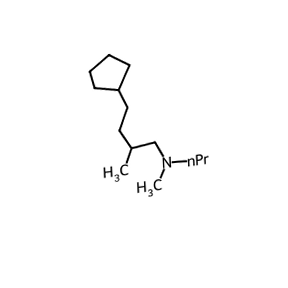 CCCN(C)CC(C)CCC1CCCC1